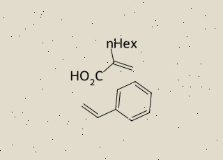 C=C(CCCCCC)C(=O)O.C=Cc1ccccc1